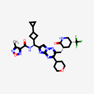 Cc1nonc1C(=O)N[C@H](c1cn2nc(C[C@H]3C[C@@H](C(F)(F)F)CNC3=O)c(C3CCOCC3)nc2n1)C1CC(C2CC2)C1